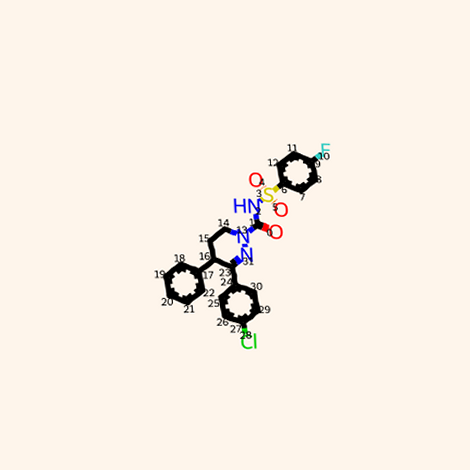 O=C(NS(=O)(=O)c1ccc(F)cc1)N1CCC(c2ccccc2)C(c2ccc(Cl)cc2)=N1